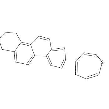 C1=CC=CSC=C1.c1ccc2c(c1)ccc1c3c(ccc12)CCCC3